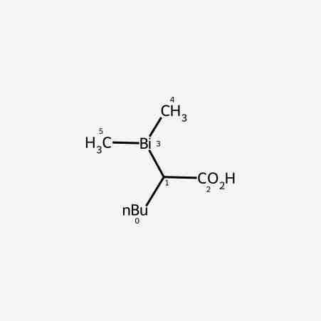 CCCC[CH](C(=O)O)[Bi]([CH3])[CH3]